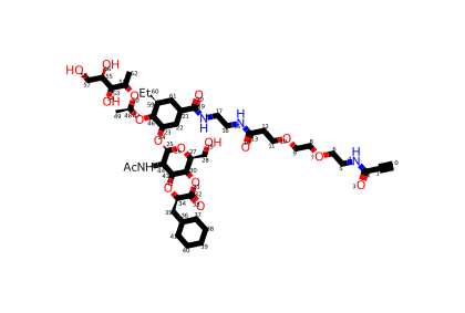 C#CC(=O)NCCOCCOCCC(=O)NCCNC(=O)C1CC(O[C@@H]2O[C@@H](CO)C3OC(=O)[C@@H](CC4CCCCC4)OC3C2NC(C)=O)C(O[C@@H](C)OC(C)C(O)[C@H](O)CO)[C@H](CC)C1